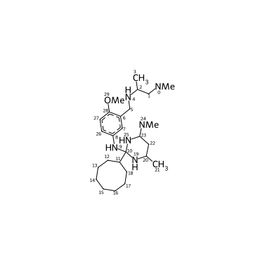 CNCC(C)NCc1cc(NC2(C3CCCCCCC3)NC(C)CC(NC)N2)ccc1OC